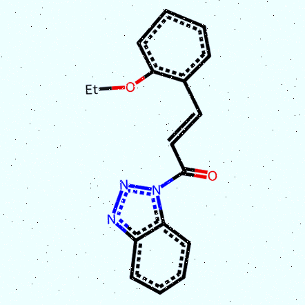 CCOc1ccccc1C=CC(=O)n1nnc2ccccc21